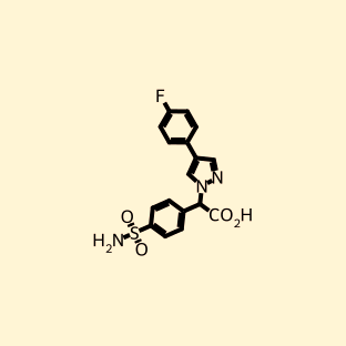 NS(=O)(=O)c1ccc(C(C(=O)O)n2cc(-c3ccc(F)cc3)cn2)cc1